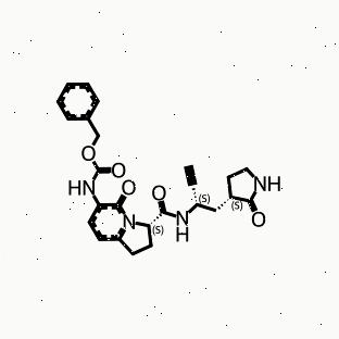 C#C[C@H](C[C@@H]1CCNC1=O)NC(=O)[C@@H]1CCc2ccc(NC(=O)OCc3ccccc3)c(=O)n21